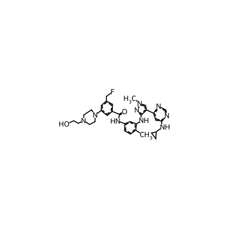 Cc1ccc(NC(=O)c2cc(CF)cc(N3CCN(CCO)CC3)c2)cc1Nc1nn(C)cc1-c1cc(NC2CC2)ncn1